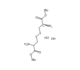 CC(C)(C)OC(=O)C(N)CSSC[C@H](N)C(=O)OC(C)(C)C.Cl.Cl